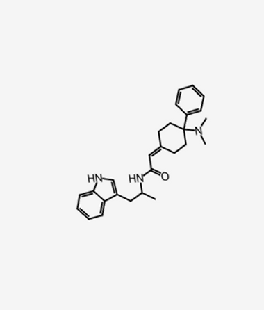 CC(Cc1c[nH]c2ccccc12)NC(=O)C=C1CCC(c2ccccc2)(N(C)C)CC1